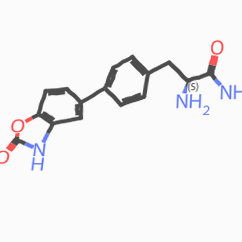 NC(=O)[C@@H](N)Cc1ccc(-c2ccc3oc(=O)[nH]c3c2)cc1